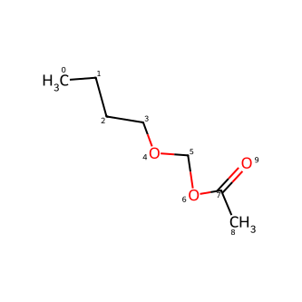 CCCCOCOC(C)=O